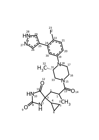 CC(CC1(C2CC2)NC(=O)NC1=O)C(=O)N1CCN(c2ccc(F)c(-c3cn[nH]c3)c2)[C@@H](C)C1